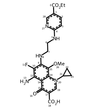 CCOC(=O)c1ccc(NCCNc2c(F)c(N)c3c(=O)c(C(=O)O)cn(C4CC4)c3c2OC)nc1